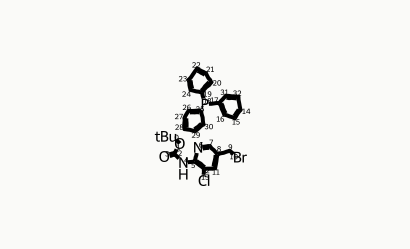 CC(C)(C)OC(=O)Nc1ncc(CBr)cc1Cl.c1ccc(P(c2ccccc2)c2ccccc2)cc1